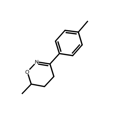 Cc1ccc(C2=NOC(C)CC2)cc1